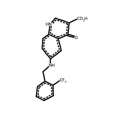 O=C(O)c1c[nH]c2ccc(NCc3ccccc3C(F)(F)F)cc2c1=O